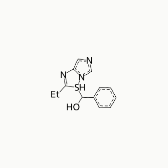 CCC1=Nc2cncn2[SH]1C(O)c1ccccc1